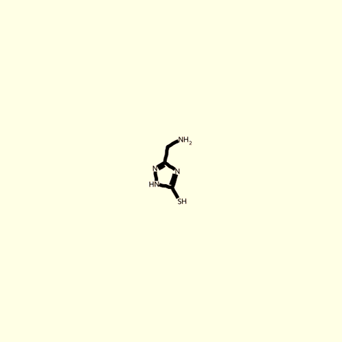 NCc1n[nH]c(S)n1